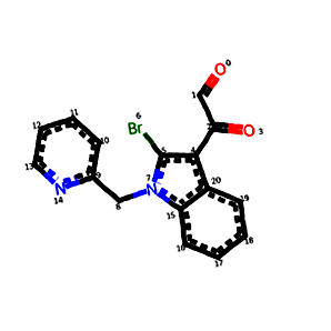 O=CC(=O)c1c(Br)n(Cc2ccccn2)c2ccccc12